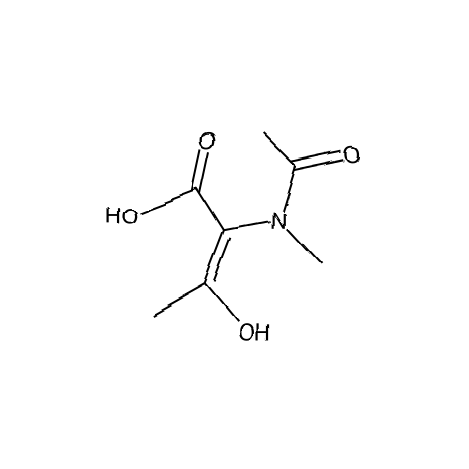 CC(=O)N(C)C(C(=O)O)=C(C)O